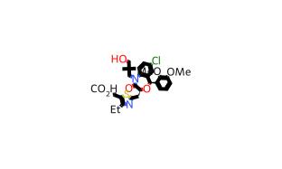 CCc1nc(C[C@H]2O[C@H](c3cccc(OC)c3OC)c3cc(Cl)ccc3N(CC(C)(C)CO)C2=O)sc1CC(=O)O